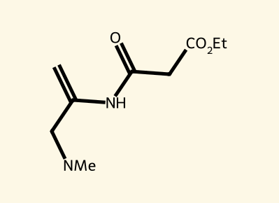 C=C(CNC)NC(=O)CC(=O)OCC